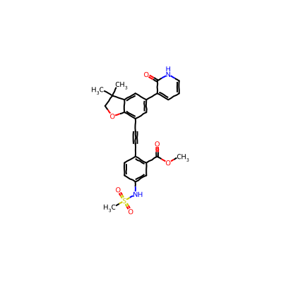 COC(=O)c1cc(NS(C)(=O)=O)ccc1C#Cc1cc(-c2ccc[nH]c2=O)cc2c1OCC2(C)C